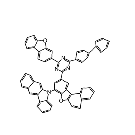 c1ccc(-c2ccc(-c3nc(-c4ccc5c(c4)oc4ccccc45)nc(-c4cc(-n5c6ccccc6c6cc7ccccc7cc65)c5oc6ccc7ccccc7c6c5c4)n3)cc2)cc1